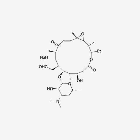 CCC1OC(=O)C[C@@H](O)[C@H](C)[C@@H](O[C@@H]2O[C@H](C)C[C@H](N(C)C)[C@H]2O)[C@@H](CC=O)C[C@@H](C)C(=O)/C=C/[C@]2(C)OC2C1C.[NaH]